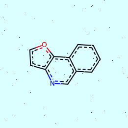 [c]1cc2ncc3ccccc3c2o1